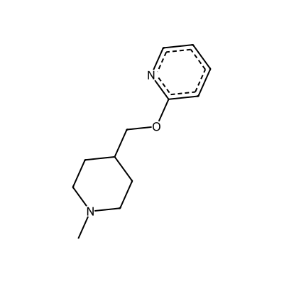 CN1CCC(COc2ccccn2)CC1